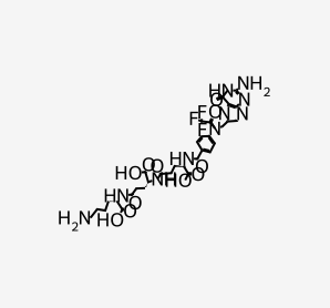 NCCCC[C@H](NC(=O)CC[C@@H](NC(=O)CC[C@@H](NC(=O)c1ccc(N(Cc2cnc3nc(N)[nH]c(=O)c3n2)C(=O)C(F)(F)F)cc1)C(=O)O)C(=O)O)C(=O)O